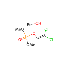 CCO.COP(=O)(OC)OC=C(Cl)Cl